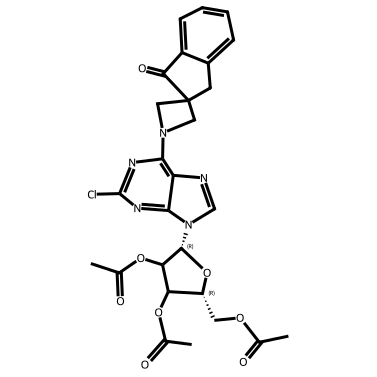 CC(=O)OC[C@H]1O[C@@H](n2cnc3c(N4CC5(Cc6ccccc6C5=O)C4)nc(Cl)nc32)C(OC(C)=O)C1OC(C)=O